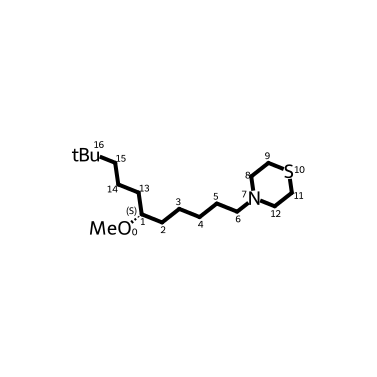 CO[C@@H](CCCCCN1CCSCC1)CCCC(C)(C)C